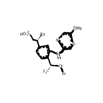 CCO[C@@H](c1ccc([C@@H](CC)CC(=O)O)cc1Nc1cnc(OC)cn1)C(F)(F)F